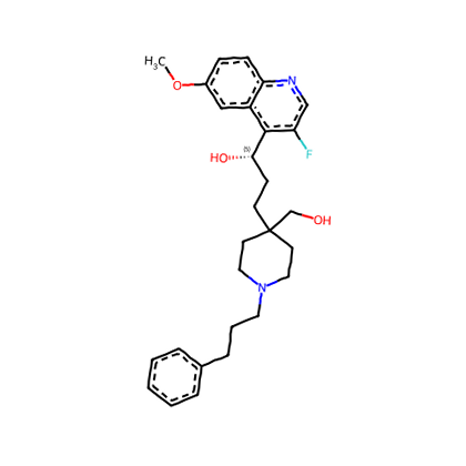 COc1ccc2ncc(F)c([C@@H](O)CCC3(CO)CCN(CCCc4ccccc4)CC3)c2c1